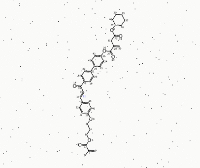 C=C(C)C(=O)OCCCOc1ccc(/C=C/C(=O)c2ccc(-c3ccc(OC(=O)C(=C)CC(=O)OC4CCCCC4)cc3)cc2)cc1